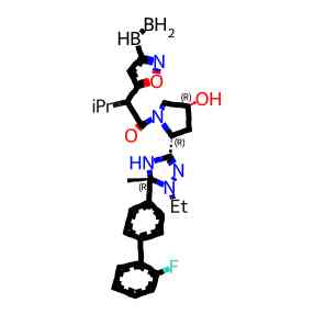 BBc1cc(C(C(=O)N2C[C@H](O)C[C@@H]2C2=NN(CC)[C@](C)(c3ccc(-c4ccccc4F)cc3)N2)C(C)C)on1